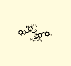 C[C@@H]1CN(CC(=O)N2CC(C)(C)c3ncc(Cc4ccc(F)cc4)cc32)[C@@H](CC2Cc3cccnc3C2)CN1